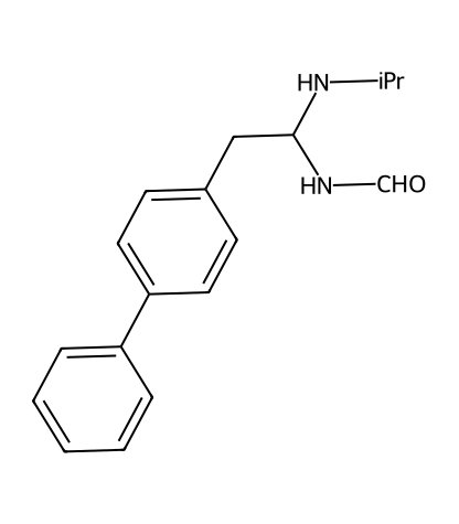 CC(C)NC(Cc1ccc(-c2ccccc2)cc1)NC=O